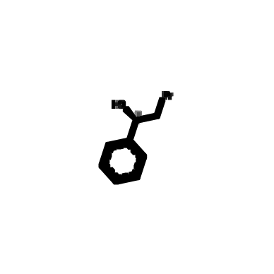 CC(C)C[C@H](O)c1ccccc1